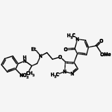 CCN(CCOc1c(-c2cc(C(=O)OC)cn(C)c2=O)cnn1C)CC(C)Nc1ccccc1[N+](=O)[O-]